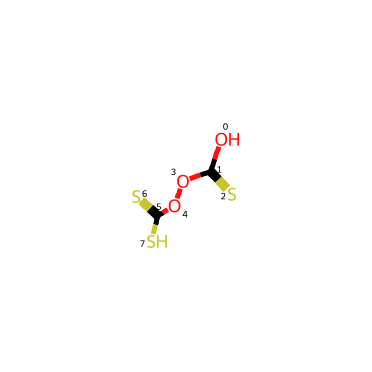 OC(=S)OOC(=S)S